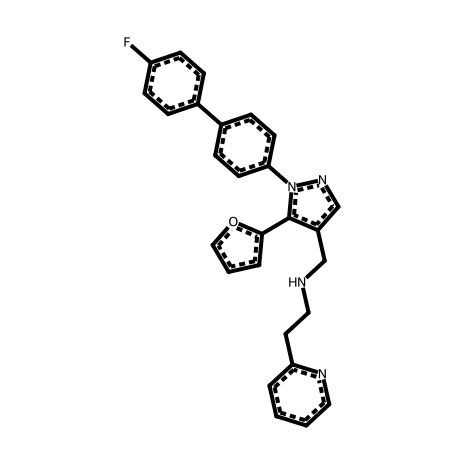 Fc1ccc(-c2ccc(-n3ncc(CNCCc4ccccn4)c3-c3ccco3)cc2)cc1